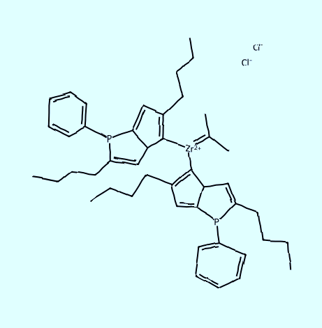 CCCCC1=CC2C(=CC(CCCC)=[C]2[Zr+2]([C]2=C(CCCC)C=C3C2C=C(CCCC)P3c2ccccc2)=[C](C)C)P1c1ccccc1.[Cl-].[Cl-]